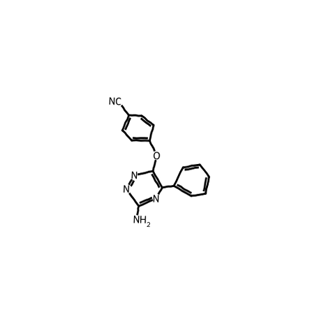 N#Cc1ccc(Oc2nnc(N)nc2-c2ccccc2)cc1